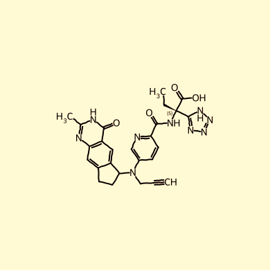 C#CCN(c1ccc(C(=O)N[C@](CC)(C(=O)O)c2nnn[nH]2)nc1)C1CCc2cc3nc(C)[nH]c(=O)c3cc21